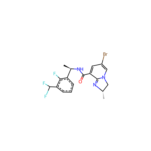 C[C@H]1CN2C=C(Br)C=C(C(=O)N[C@H](C)c3cccc(C(F)F)c3F)C2=N1